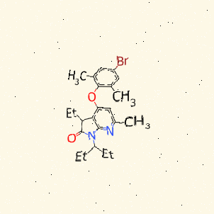 CCC1C(=O)N(C(CC)CC)c2nc(C)cc(Oc3c(C)cc(Br)cc3C)c21